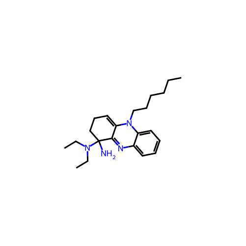 CCCCCCN1C2=CCCC(N)(N(CC)CC)C2=Nc2ccccc21